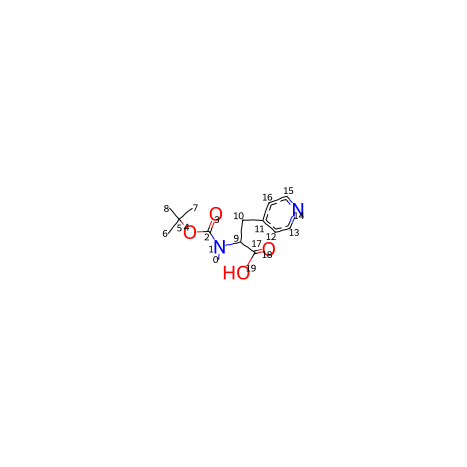 CN(C(=O)OC(C)(C)C)C(Cc1ccncc1)C(=O)O